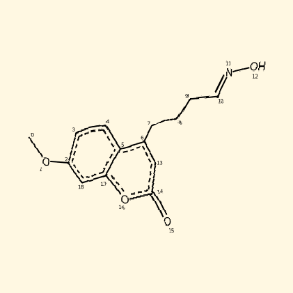 COc1ccc2c(CCCC=NO)cc(=O)oc2c1